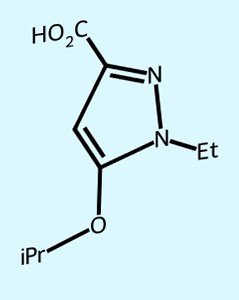 CCn1nc(C(=O)O)cc1OC(C)C